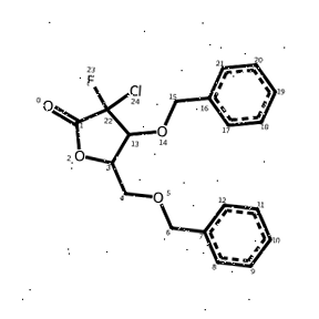 O=C1OC(COCc2ccccc2)C(OCc2ccccc2)C1(F)Cl